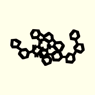 c1ccc(-c2cccc(-c3cccc(-c4ccc(-c5ccccc5-n5c6ccccc6c6ccc7c8ccccc8n(-c8nc(-c9ccccc9)nc(-c9cccc(-c%10ccccc%10)c9)n8)c7c65)cc4)c3)c2)cc1